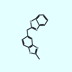 Cc1nc2cc(Cc3nc4ccccc4o3)ccc2o1